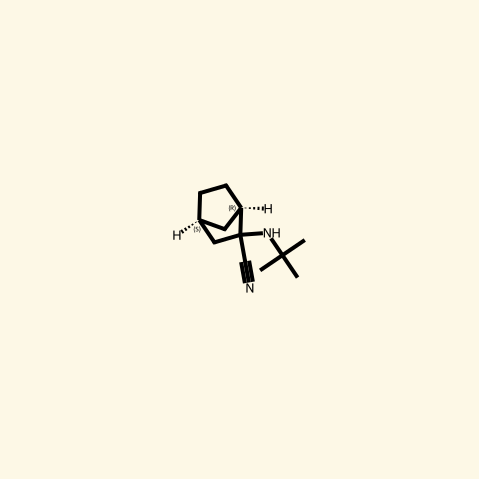 CC(C)(C)NC1(C#N)C[C@H]2CC[C@@H]1C2